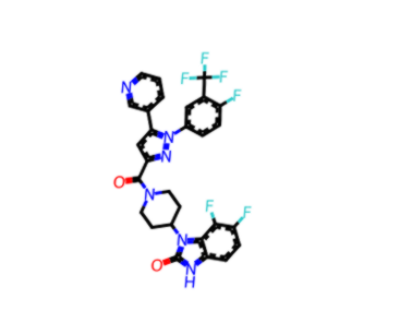 O=C(c1cc(-c2cccnc2)n(-c2ccc(F)c(C(F)(F)F)c2)n1)N1CCC(n2c(=O)[nH]c3ccc(F)c(F)c32)CC1